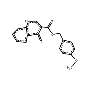 COc1ccc(COC(=O)c2c[nH]c3ccccc3c2=S)cc1